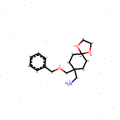 NCC1(COCc2ccccc2)CCC2(CC1)OCCO2